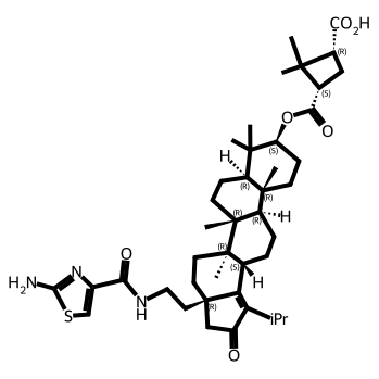 CC(C)C1=C2[C@H]3CC[C@@H]4[C@@]5(C)CC[C@H](OC(=O)[C@H]6C[C@@H](C(=O)O)C6(C)C)C(C)(C)[C@@H]5CC[C@@]4(C)[C@]3(C)CC[C@@]2(CCNC(=O)c2csc(N)n2)CC1=O